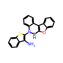 Nc1c(N2Bc3oc4ccccc4c3-c3ccccc32)sc2ccccc12